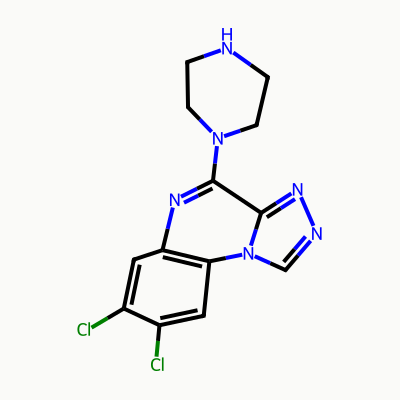 Clc1cc2nc(N3CCNCC3)c3nncn3c2cc1Cl